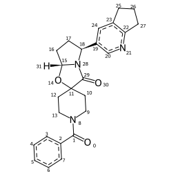 O=C(c1ccccc1)N1CCC2(CC1)O[C@@H]1CC[C@@H](c3cnc4c(c3)CCC4)N1C2=O